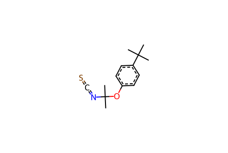 CC(C)(N=C=S)Oc1ccc(C(C)(C)C)cc1